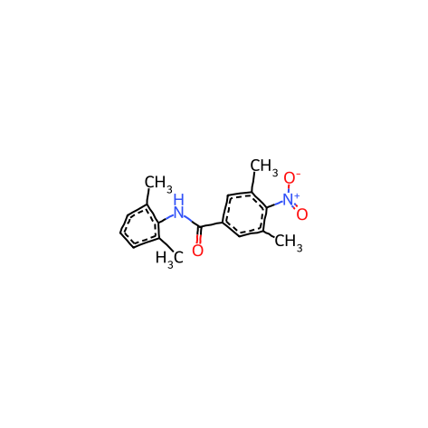 Cc1cccc(C)c1NC(=O)c1cc(C)c([N+](=O)[O-])c(C)c1